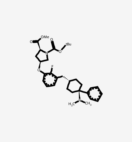 COC(=O)[C@@H]1C[C@H](Oc2cccc(C[C@H]3CC[C@](c4ccccc4)(N(C)C)CC3)c2F)CN1C(=O)OC(C)(C)C